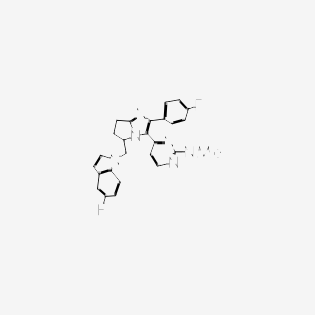 CNc1nccc(-c2c(-c3ccc(F)cc3)nc3n2C(Cn2ccc4cc(F)ccc42)CC3)n1